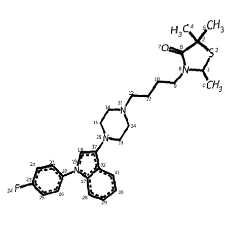 CC1SC(C)(C)C(=O)N1CCCCN1CCN(c2cn(-c3ccc(F)cc3)c3ccccc23)CC1